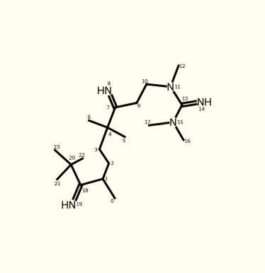 CC(CCC(C)(C)C(=N)CCN(C)C(=N)N(C)C)C(=N)C(C)(C)C